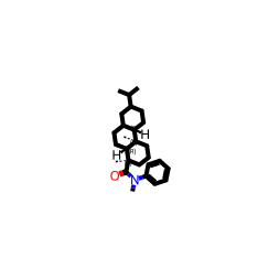 CC(C)C1CC[C@H]2C(CC[C@@H]3[C@]2(C)CCC[C@@]3(C)C(=O)N(C)c2ccccc2)C1